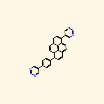 c1ncc(-c2ccc(-c3ccc4ccc5c(-c6cncnc6)ccc6ccc3c4c65)cc2)cn1